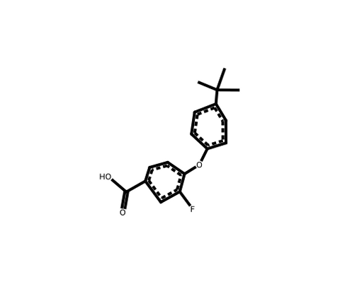 CC(C)(C)c1ccc(Oc2ccc(C(=O)O)cc2F)cc1